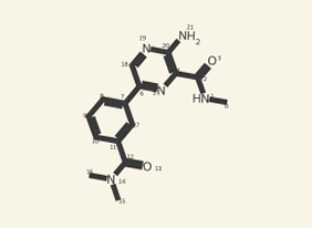 CNC(=O)c1nc(-c2cccc(C(=O)N(C)C)c2)cnc1N